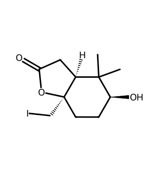 CC1(C)[C@@H](O)CC[C@@]2(CI)OC(=O)C[C@@H]12